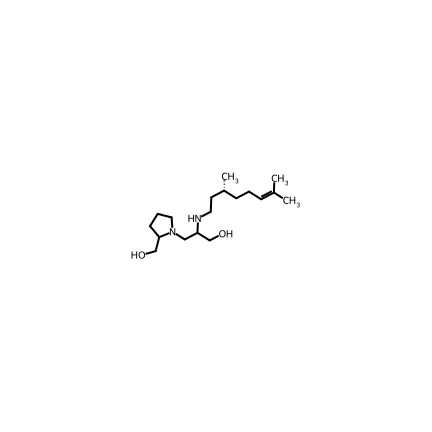 CC(C)=CCC[C@@H](C)CCNC(CO)CN1CCCC1CO